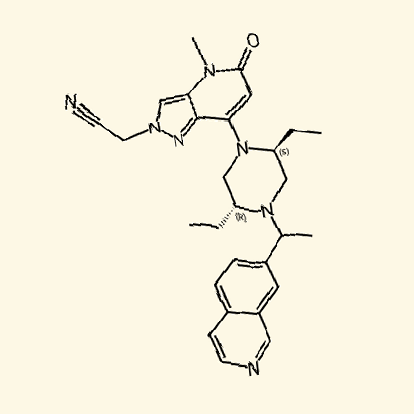 CC[C@H]1CN(C(C)c2ccc3ccncc3c2)[C@H](CC)CN1c1cc(=O)n(C)c2cn(CC#N)nc12